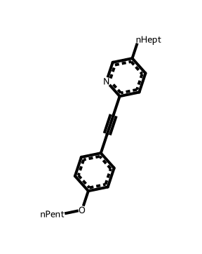 CCCCCCCc1ccc(C#Cc2ccc(OCCCCC)cc2)nc1